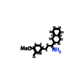 COc1ccc(CCC(N)C2CCc3ccccc3C2)cc1C